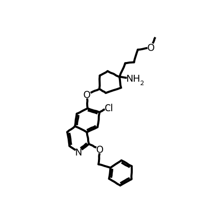 COCCCC1(N)CCC(Oc2cc3ccnc(OCc4ccccc4)c3cc2Cl)CC1